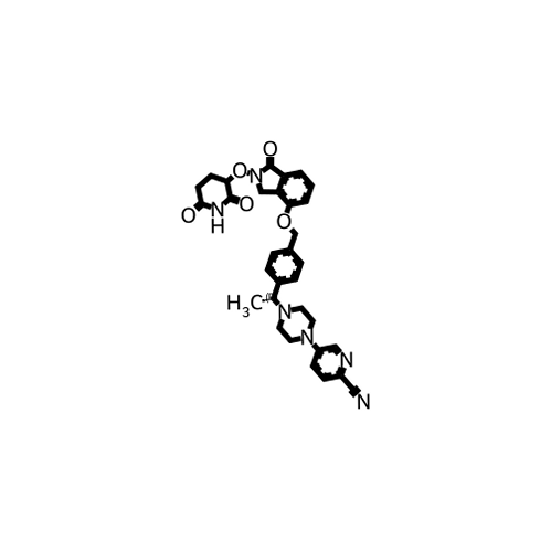 C[C@H](c1ccc(COc2cccc3c2CN(OC2CCC(=O)NC2=O)C3=O)cc1)N1CCN(c2ccc(C#N)nc2)CC1